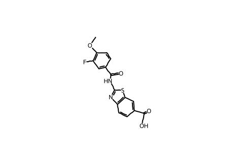 COc1ccc(C(=O)Nc2nc3ccc(C(=O)O)cc3s2)cc1F